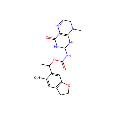 CC(OC(=O)NC1NC(=O)C2=C(N1)N(C)CC=N2)c1cc2c(cc1[N+](=O)[O-])CCO2